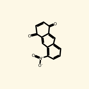 O=C1C=CC(=O)c2cc3c([N+](=O)[O-])cccc3cc21